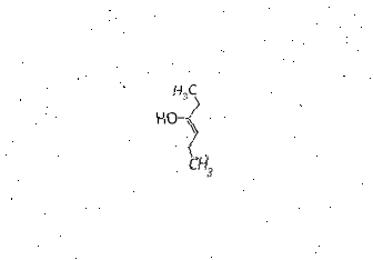 CCC=C(O)CC